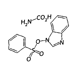 NC(=O)O.O=S(=O)(On1cnc2ccccc21)c1ccccc1